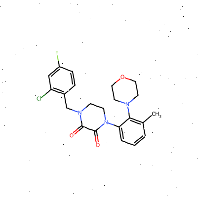 Cc1cccc(N2CCN(Cc3ccc(F)cc3Cl)C(=O)C2=O)c1N1CCOCC1